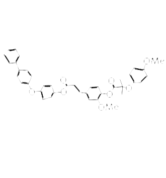 COc1ccc(OC(C)(C)C(=O)Oc2ccc(C=CC(=O)Oc3ccc(Oc4ccc(-c5ccccc5)cc4)cc3)cc2OC)cc1